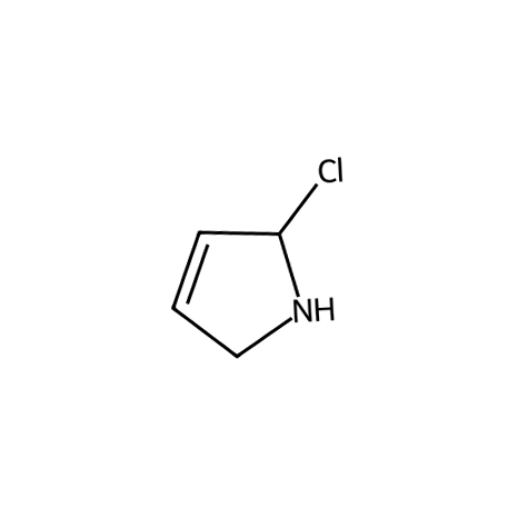 ClC1C=CCN1